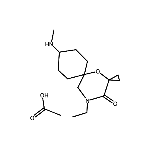 CC(=O)O.CCN1CC2(CCC(NC)CC2)OC2(CC2)C1=O